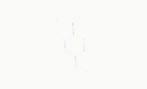 C/C=N\c1c(C)nc(C(C)C)[nH]c1=O